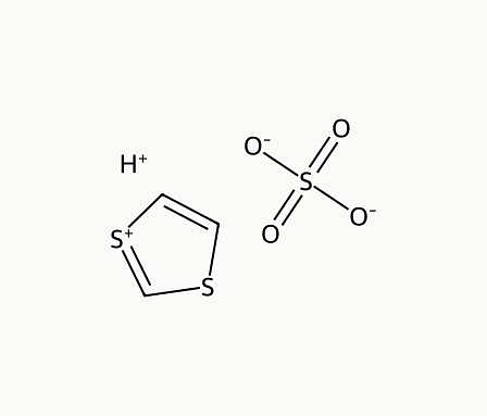 O=S(=O)([O-])[O-].[H+].c1c[s+]cs1